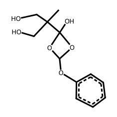 CC(CO)(CO)C1(O)OC(Oc2ccccc2)O1